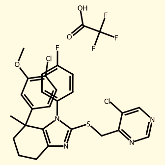 COc1cc(C2(C)CCCc3nc(SCc4ncncc4Cl)n(-c4ccc(F)cc4)c32)ccc1Cl.O=C(O)C(F)(F)F